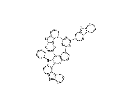 c1ccc(-c2nc(-c3ccc4c(c3)sc3ccccc34)nc(-c3cccc4oc5ccc(-c6cccc7c8c9c(ccc8n(-c8ccccc8)c67)sc6ccccc69)cc5c34)n2)cc1